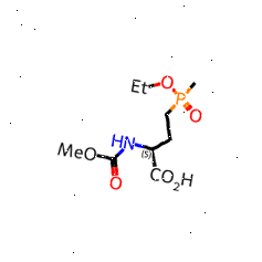 CCOP(C)(=O)CC[C@H](NC(=O)OC)C(=O)O